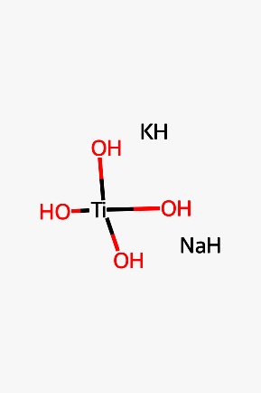 [KH].[NaH].[OH][Ti]([OH])([OH])[OH]